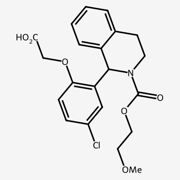 COCCOC(=O)N1CCc2ccccc2C1c1cc(Cl)ccc1OCC(=O)O